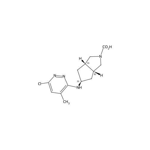 Cc1cc(Cl)nnc1N[C@H]1C[C@@H]2CN(C(=O)O)C[C@@H]2C1